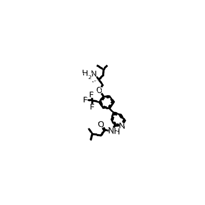 CC(C)CC(=O)Nc1cc(-c2ccc(OC[C@@](C)(N)CC(C)C)c(C(F)(F)F)c2)ccn1